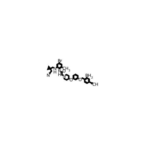 Bc1cc(C#C)ccc1COc1cccc(OC2CCN(CC(=O)Nc3c(C)cc(Br)cc3NCC3(CC#N)CC3)CC2)c1